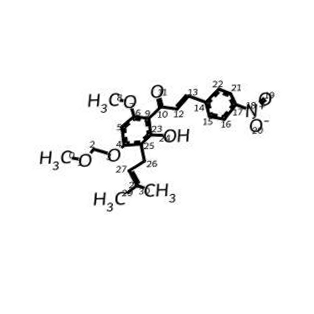 COCOc1cc(OC)c(C(=O)C=Cc2ccc([N+](=O)[O-])cc2)c(O)c1CC=C(C)C